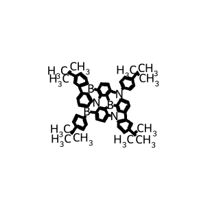 CC(C)(C)c1ccc(B2c3ccc4c5c3N3c6c(ccc7c6B6c8c(ccc2c83)-n2c3ccc(C(C)(C)C)cc3c3ccc(c6c32)N7c2ccc(C(C)(C)C)cc2)B5c2ccc(C(C)(C)C)cc2-4)cc1